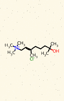 C/C(=C\C[N+](C)(C)C)CCCC(C)(C)O.[Cl-]